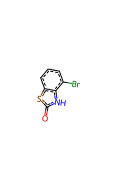 O=c1[nH]c2c(Br)cccc2s1